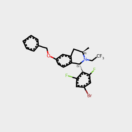 C[C@@H]1Cc2cc(OCc3ccccc3)ccc2[C@@H](c2c(F)cc(Br)cc2F)N1CC(F)(F)F